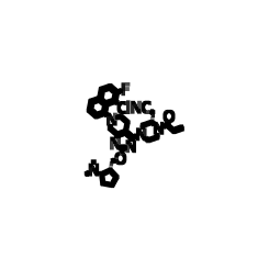 C=CC(=O)N1CCN(c2nc(OC[C@@H]3CCC[C@@H]3N(C)C)nc3c2CCN(c2cccc4ccc(F)c(Cl)c24)C3)C[C@@H]1CC#N